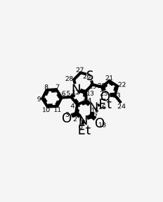 CCn1c(=O)c2c(-c3ccccc3)n3c(c2n(CC)c1=O)C(c1ccc(C)o1)SCC3